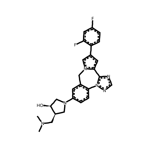 CN(C)C[C@@H]1CN(c2ccc3c(c2)Cn2cc(-c4ccc(F)cc4F)cc2-c2ncnn2-3)C[C@@H]1O